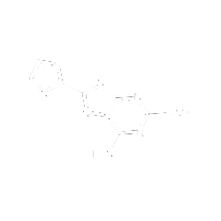 CSc1nc(N)n2nc(-c3ncco3)nc2n1